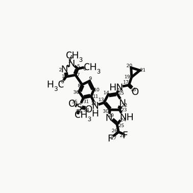 Cc1nn(C)c(C)c1-c1ccc(Nc2cc(NC(=O)C3CC3)nc3[nH]c(C(F)F)nc23)c(S(C)(=O)=O)c1